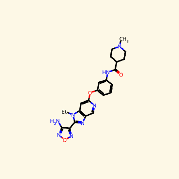 CCn1c(-c2nonc2N)nc2cnc(Oc3cccc(NC(=O)C4CCN(C)CC4)c3)cc21